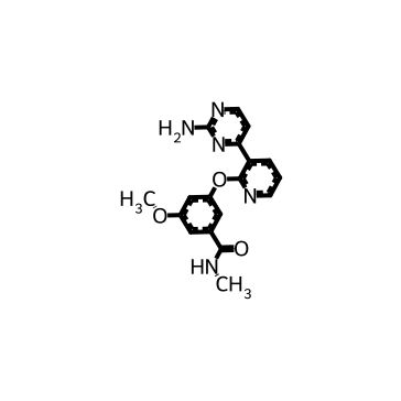 CNC(=O)c1cc(OC)cc(Oc2ncccc2-c2ccnc(N)n2)c1